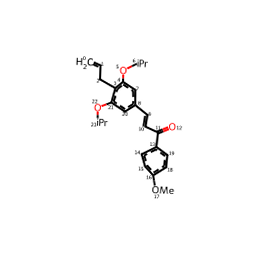 C=CCc1c(OC(C)C)cc(C=CC(=O)c2ccc(OC)cc2)cc1OC(C)C